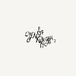 NS(=O)(=O)c1cccc(Nc2ncc(OC(F)F)c(N3CCN(c4ccccc4)C(=O)C3)n2)c1